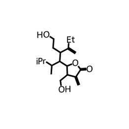 C=C1C(=O)OC(C(C(CCO)C(=C)CC)C(C)C(C)C)C1CO